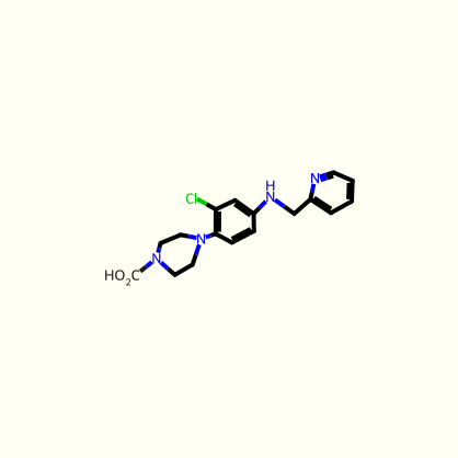 O=C(O)N1CCN(c2ccc(NCc3ccccn3)cc2Cl)CC1